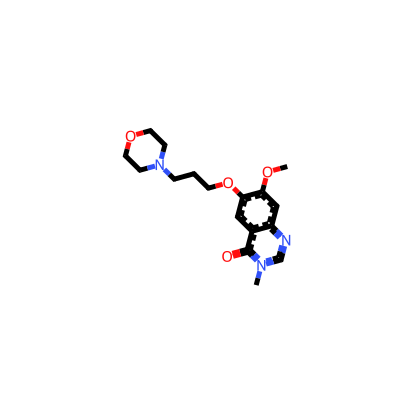 COc1cc2ncn(C)c(=O)c2cc1OCCCN1CCOCC1